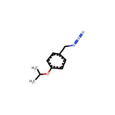 CC(C)Oc1ccc(CN=[N+]=[N-])cc1